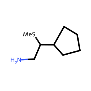 CSC(CN)C1CCCC1